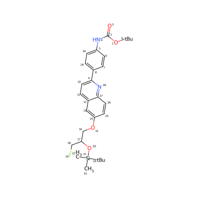 CC(C)(C)OC(=O)Nc1ccc(-c2ccc3cc(OCC(CF)O[Si](C)(C)C(C)(C)C)ccc3n2)cc1